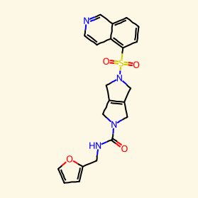 O=C(NCc1ccco1)N1CC2=C(C1)CN(S(=O)(=O)c1cccc3cnccc13)C2